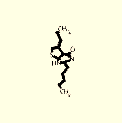 C=CCC1CSc2[nH]c(CCCCC)nc(=O)c21